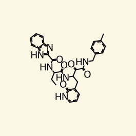 CCC(NC(=O)c1nc2ccccc2[nH]1)C(=O)NC(Cc1ccc[nH]c1=O)C(=O)C(=O)NCc1ccc(C)cc1